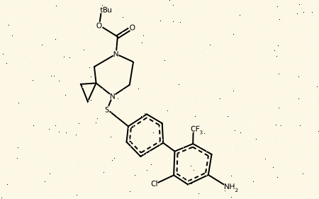 CC(C)(C)OC(=O)N1CCN(Sc2ccc(-c3c(Cl)cc(N)cc3C(F)(F)F)cc2)C2(CC2)C1